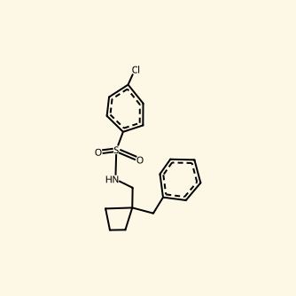 O=S(=O)(NCC1(Cc2ccccc2)CCC1)c1ccc(Cl)cc1